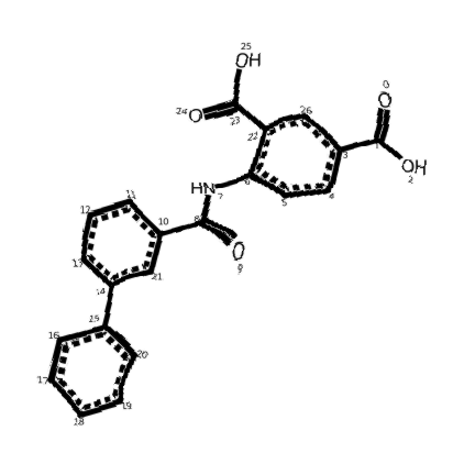 O=C(O)c1ccc(NC(=O)c2cccc(-c3ccccc3)c2)c(C(=O)O)c1